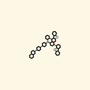 c1ccc(N(c2ccc(-c3ccc(-c4ccc5ccccc5c4)cc3)cc2)c2ccc(-c3cccc4c3oc3ccccc34)cc2)c(-c2cccc3oc4ccccc4c23)c1